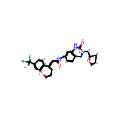 O=C(/C=C1\CCCOc2cc(C(F)(F)F)ccc21)Nc1ccc2c(c1)NC(=O)N(CC1CCCO1)C2